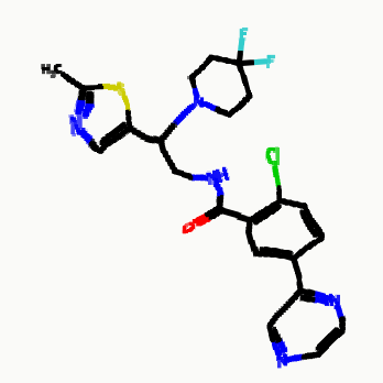 Cc1ncc(C(CNC(=O)c2cc(-c3cnccn3)ccc2Cl)N2CCC(F)(F)CC2)s1